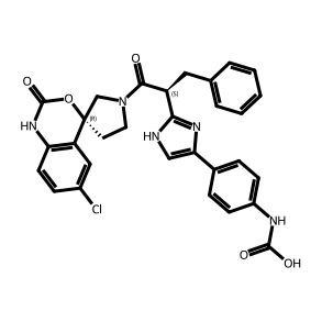 O=C(O)Nc1ccc(-c2c[nH]c([C@H](Cc3ccccc3)C(=O)N3CC[C@@]4(C3)OC(=O)Nc3ccc(Cl)cc34)n2)cc1